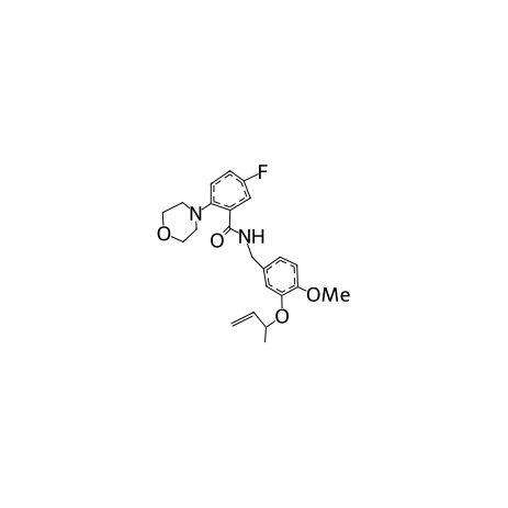 C=CC(C)Oc1cc(CNC(=O)c2cc(F)ccc2N2CCOCC2)ccc1OC